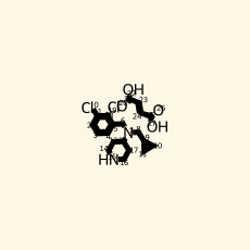 Clc1cccc(CN(CC2CC2)C2CCNCC2)c1Cl.O=C(O)/C=C/C(=O)O